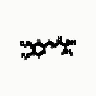 N=C(N)NN=Cc1ccc(C(F)(F)F)c([N+](=O)[O-])c1